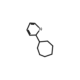 C1=C[N]C(C2CCCCCC2)C=C1